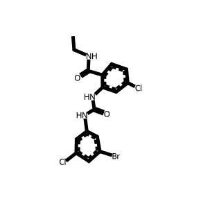 CCNC(=O)c1ccc(Cl)cc1NC(=O)Nc1cc(Cl)cc(Br)c1